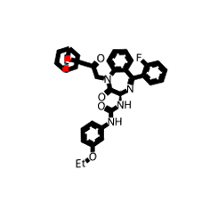 CCOc1cccc(NC(=O)N[C@@H]2N=C(c3ccccc3F)c3ccccc3N(CC(=O)N3CC4CCC(CC4)C3)C2=O)c1